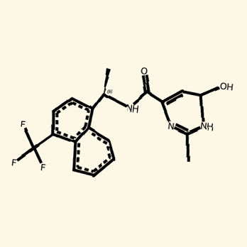 CC1=NC(C(=O)N[C@H](C)c2ccc(C(F)(F)F)c3ccccc23)=CC(O)N1